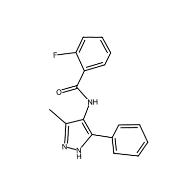 Cc1n[nH]c(-c2ccccc2)c1NC(=O)c1ccccc1F